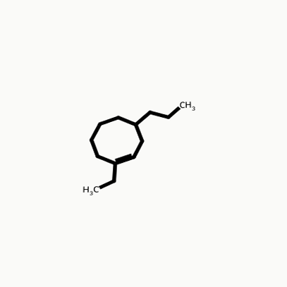 CCCC1CC=C(CC)CCCC1